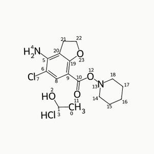 CCO.Cl.Nc1c(Cl)cc(C(=O)ON2CCCCC2)c2c1CCO2